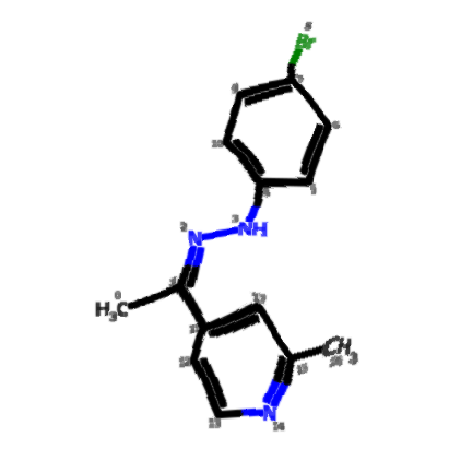 CC(=NNc1ccc(Br)cc1)c1ccnc(C)c1